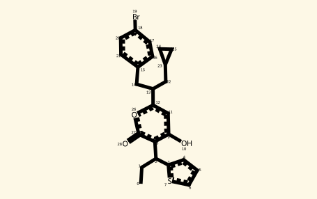 CCC(c1cccs1)c1c(O)cc(C(Cc2ccc(Br)cc2)CC2CC2)oc1=O